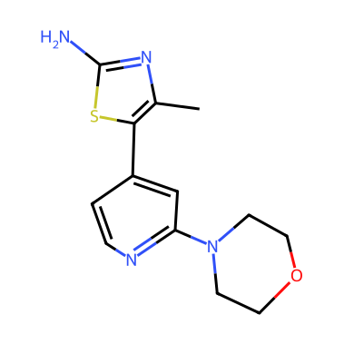 Cc1nc(N)sc1-c1ccnc(N2CCOCC2)c1